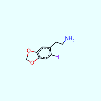 NCCc1cc2c(cc1I)OCO2